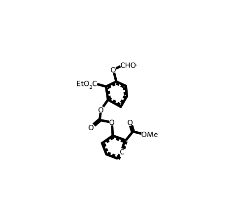 CCOC(=O)c1c(O[C]=O)cccc1OC(=O)Oc1ccccc1C(=O)OC